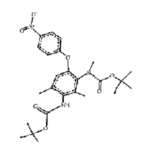 Cc1cc(Oc2ccc([N+](=O)[O-])cc2)c(N(C)C(=O)OC(C)(C)C)c(C)c1NC(=O)OC(C)(C)C